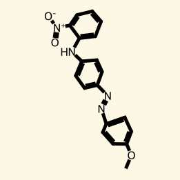 COc1ccc(N=Nc2ccc(Nc3ccccc3[N+](=O)[O-])cc2)cc1